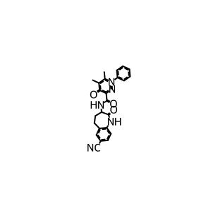 Cc1c(C)n(-c2ccccc2)nc(C(=O)NC2CCc3cc(C#N)ccc3NC2=O)c1=O